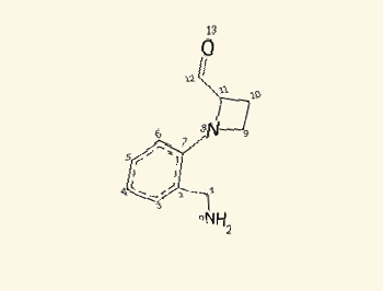 NCc1ccccc1N1CCC1C=O